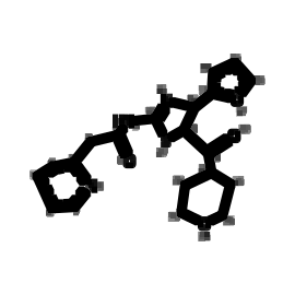 O=C(Cc1ccccn1)NC1=NC(c2ccco2)C(C(=O)C2CCOCC2)S1